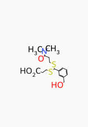 CN(C)C(=O)CCSC(SCCC(=O)O)c1cccc(CO)c1